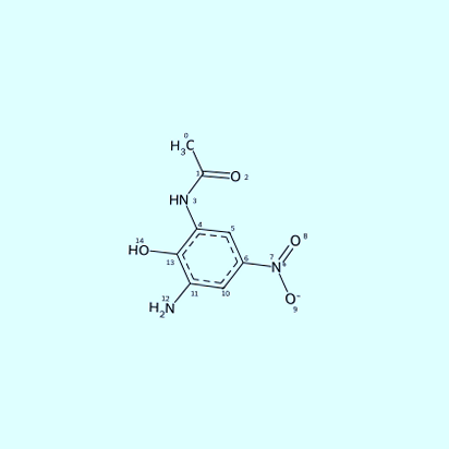 CC(=O)Nc1cc([N+](=O)[O-])cc(N)c1O